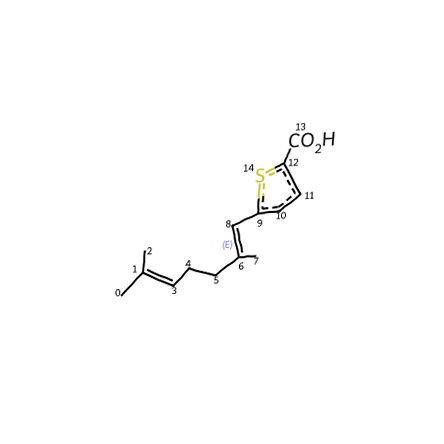 CC(C)=CCC/C(C)=C/c1ccc(C(=O)O)s1